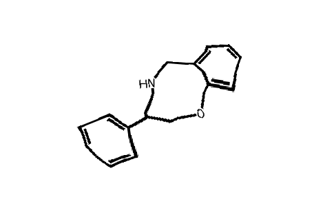 c1ccc(C2COc3ccccc3CN2)cc1